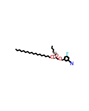 CCCCCCCCCCCCCCCCCCOC[C@H](COCc1cc(F)cc(C#N)c1)O[Si](C)(C)CCCC